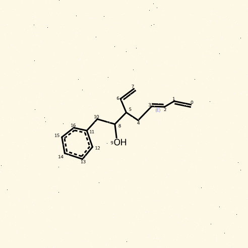 C=C/C=C/CC(C=C)C(O)Cc1ccccc1